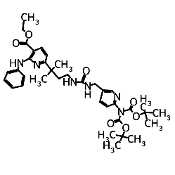 CCOC(=O)c1ccc(C(C)(C)CCNC(=O)NCc2ccc(N(C(=O)OC(C)(C)C)C(=O)OC(C)(C)C)nc2)nc1Nc1ccccc1